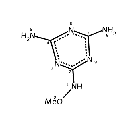 CONc1nc(N)nc(N)n1